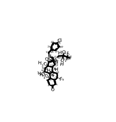 C[C@]12C=CC(=O)C=C1[C@@H](F)C[C@H]1[C@@H]3C[C@H]4CN(Cc5ccc(Cl)cc5)O[C@@]4(C(=O)SCC(O)(O)C(F)(F)F)[C@@]3(C)C[C@H](O)[C@@]12F